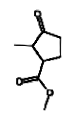 COC(=O)C1CCC(=O)C1C